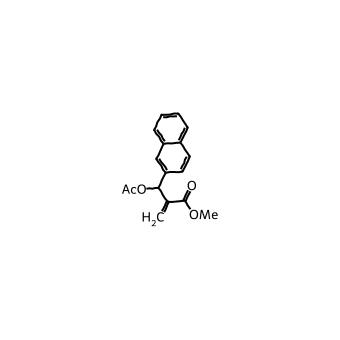 C=C(C(=O)OC)C(OC(C)=O)c1ccc2ccccc2c1